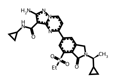 CCS(=O)(=O)c1cc(-c2ccn3nc(N)c(C(=O)NC4CC4)c3n2)cc2c1C(=O)N([C@@H](C)C1CC1)C2